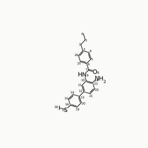 CCCc1ccc(C(=O)Nc2cc(-c3ccc(SI)cc3)ccc2N)cc1